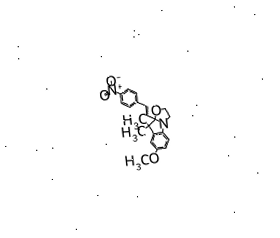 COc1ccc2c(c1)C(C)(C)C1(/C=C/c3ccc([N+](=O)[O-])cc3)OCCN21